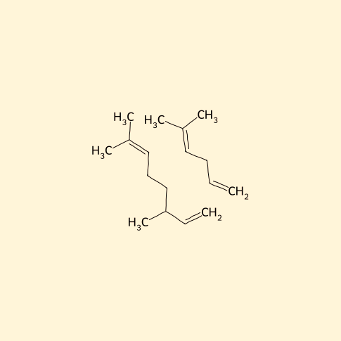 C=CC(C)CCC=C(C)C.C=CCC=C(C)C